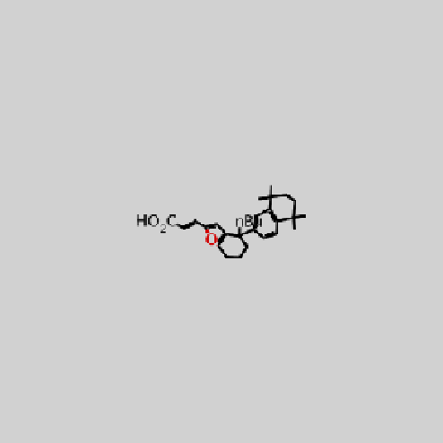 CCCCC1(c2ccc3c(c2)C(C)(C)CCC3(C)C)CCCc2oc(/C=C/C(=O)O)cc21